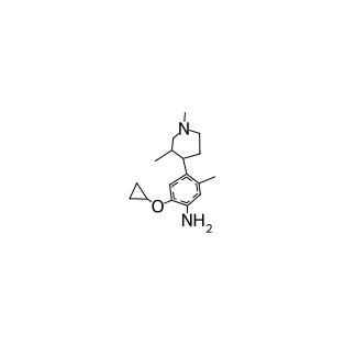 Cc1cc(N)c(OC2CC2)cc1C1CCN(C)CC1C